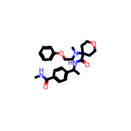 CNC(=O)c1ccc(C(C)NC(=O)C2(N(C)CCOc3ccccc3)CCOCC2)cc1